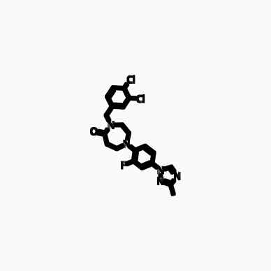 Cc1ncn(-c2ccc(N3CCC(=O)N(CC4=CC(Cl)C(Cl)C=C4)CC3)c(F)c2)n1